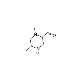 CC1CN(C)C(C=O)CN1